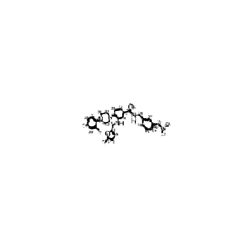 Cc1ccc(CNc2cc(C(=O)NCc3cccc(CN(C)C)c3)ccc2N2CCN(c3ccccc3C)CC2)o1